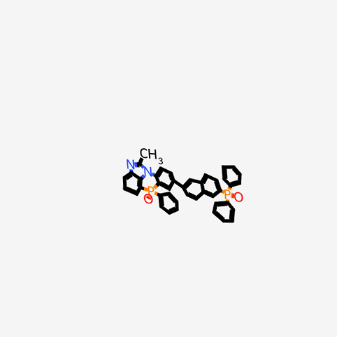 Cc1nc2cccc3c2n1-c1ccc(-c2ccc4cc(P(=O)(c5ccccc5)c5ccccc5)ccc4c2)cc1P3(=O)c1ccccc1